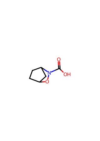 O=C(O)N1OC2CCC1C2